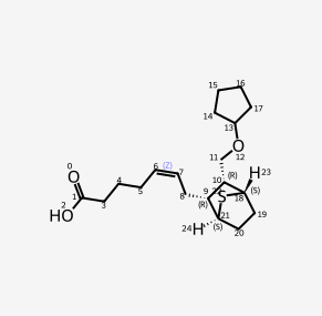 O=C(O)CCC/C=C\C[C@@H]1[C@H](COC2CCCC2)[C@@H]2CC[C@@H]1S2